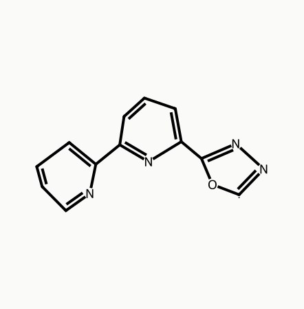 [c]1nnc(-c2cccc(-c3ccccn3)n2)o1